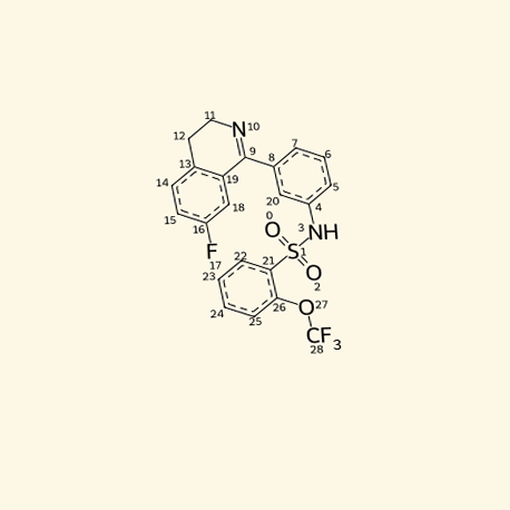 O=S(=O)(Nc1cccc(C2=NCCc3ccc(F)cc32)c1)c1ccccc1OC(F)(F)F